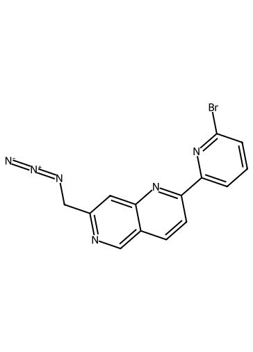 [N-]=[N+]=NCc1cc2nc(-c3cccc(Br)n3)ccc2cn1